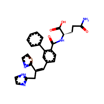 NC(=O)CC[C@H](NC(=O)c1ccc(C=C(Cc2ncc[nH]2)c2nccs2)cc1-c1ccccc1)C(=O)O